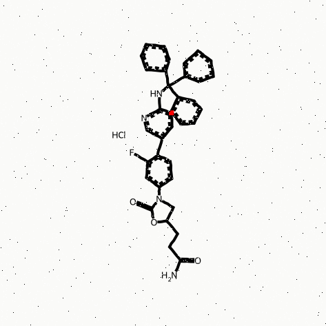 Cl.NC(=O)CCC1CN(c2ccc(-c3ccc(NC(c4ccccc4)(c4ccccc4)c4ccccc4)nc3)c(F)c2)C(=O)O1